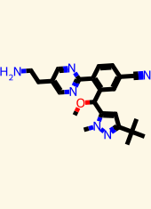 COC(c1cc(C#N)ccc1-c1ncc(CCN)cn1)c1cc(C(C)(C)C)nn1C